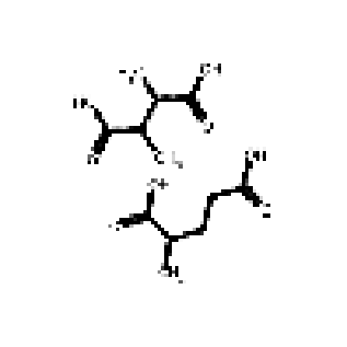 CC(C(=O)O)C(C)C(=O)O.CC(CCC(=O)O)C(=O)O